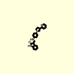 O=C1Nc2ccccc2/C1=C/Nc1ccc(N2CCC(c3ccccn3)C2)cc1